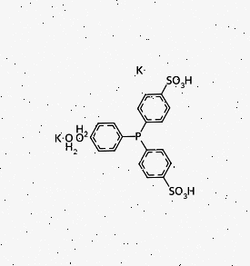 O.O.O=S(=O)(O)c1ccc(P(c2ccccc2)c2ccc(S(=O)(=O)O)cc2)cc1.[K].[K]